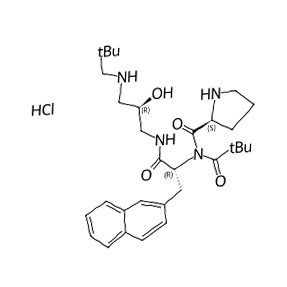 CC(C)(C)CNC[C@@H](O)CNC(=O)[C@@H](Cc1ccc2ccccc2c1)N(C(=O)[C@@H]1CCCN1)C(=O)C(C)(C)C.Cl